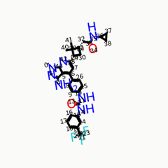 Cn1nc(N)c2c(-c3ccc(NC(=O)Nc4cccc(C(F)(F)F)c4)cc3)cc([C@H]3C[C@@H](CC(=O)NC4CC4)C3(C)C)nc21